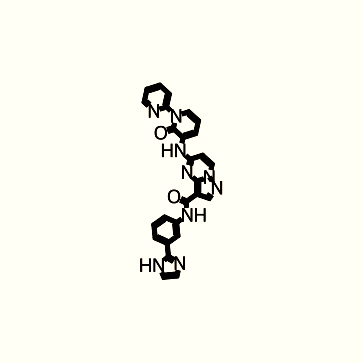 O=C(Nc1cccc(-c2ncc[nH]2)c1)c1cnn2ccc(Nc3cccn(-c4ccccn4)c3=O)nc12